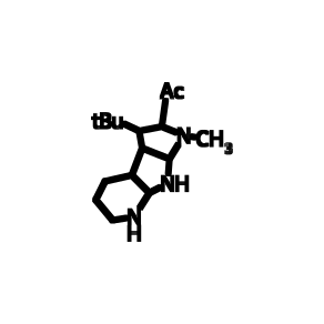 CC(=O)C1C(C(C)(C)C)C2C3CCCNC3NC2N1C